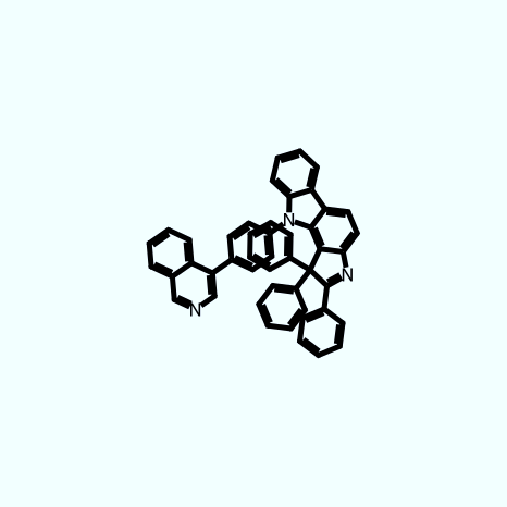 c1ccc(C2=Nc3ccc4c5ccccc5n(-c5ccc(-c6cncc7ccccc67)cc5)c4c3C2(c2ccccc2)c2ccccc2)cc1